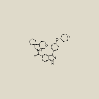 O=C(NCC1(N2CCOCC2)CCCC1)c1ccc2[nH]nc(-c3ccc(OC4CCOCC4)cc3)c2c1